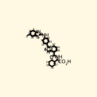 Cc1ccc2nc(Nc3ccc(-c4nnc5c(C(=O)N[C@H](C(=O)O)C6CCCCC6)cccn45)cc3)sc2c1